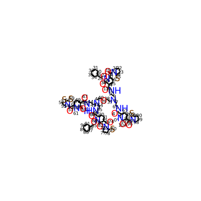 Cn1c(C(=O)NCCN(CCNC(=O)c2ccc(C(=O)N3CCCC3=S)n(OCc3ccccc3)c2=O)CCOCCN(CCNC(=O)c2ccc(C(=O)N3CCSC3=S)n(C)c2=O)CCNC(=O)c2ccc(C(=O)N3CCCC3=S)c(=O)n2OCc2ccccc2)ccc(C(=O)N2CCCC2=S)c1=O